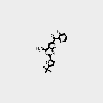 CC(F)(F)c1ccc(-c2nc(N)c3cc(C(=O)c4ncccc4F)sc3n2)o1